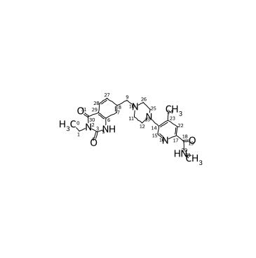 CCn1c(=O)[nH]c2cc(CN3CCN(c4cnc(C(=O)NC)cc4C)CC3)ccc2c1=O